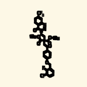 CC(C)(C)OC(=O)C(CCn1nnc2cc(C(F)(F)F)ccc2c1=O)(CC(=O)c1ccc(OCc2cccc(Cl)c2F)cc1)C(=O)OC(C)(C)C